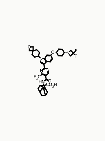 O=C(NC1(C(=O)O)C2CC3CC(C2)CC1C3)c1cnc(-c2cn(C3CCC4(CC3)COC4)c3cc(O[C@H]4CC[C@H](N5CC(F)(F)C5)CC4)ccc23)nc1C(F)(F)F